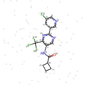 O=C(Nc1cnc(-c2cncc(F)c2)nc1C(F)(F)F)C1CCC1